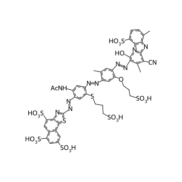 CC(=O)Nc1cc(N=Nc2cc(OCCCS(=O)(=O)O)c(N=Nc3c(C)c(C#N)c4nc5c(C)ccc(S(=O)(=O)O)c5n4c3O)cc2C)c(SCCCS(=O)(=O)O)cc1N=Nc1nc2c(S(=O)(=O)O)cc3c(S(=O)(=O)O)cc(S(=O)(=O)O)cc3c2s1